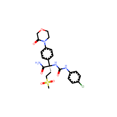 CS(=O)(=O)CC[C@](NC(=O)Nc1ccc(Cl)cc1)(C(N)=O)c1ccc(N2CCOCC2=O)cc1